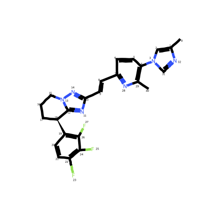 Cc1cn(-c2ccc(/C=C/c3nc4n(n3)CCC[C@@H]4c3ccc(F)c(F)c3F)nc2C)cn1